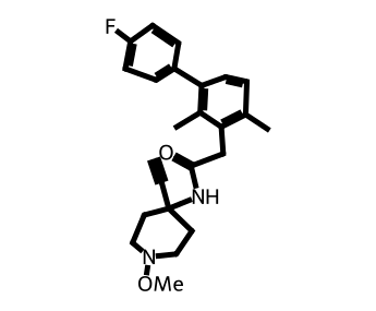 C#CC1(NC(=O)Cc2c(C)ccc(-c3ccc(F)cc3)c2C)CCN(OC)CC1